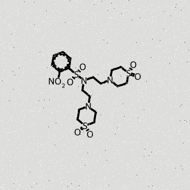 O=[N+]([O-])c1ccccc1S(=O)(=O)N(CCN1CCS(=O)(=O)CC1)CCN1CCS(=O)(=O)CC1